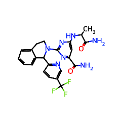 CC(Nc1cc(C(N)=O)nc(N2CCc3ccccc3C2c2ccc(C(F)(F)F)cn2)n1)C(N)=O